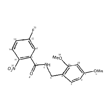 COc1ccc(CNC(=O)c2cc(F)ccc2[N+](=O)[O-])c(OC)c1